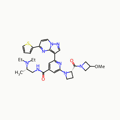 CCN(CC)[C@@H](C)CNC(=O)c1cc(-c2cnn3ccc(-c4cccs4)nc23)nc(N2CC[C@H]2C(=O)N2CC(OC)C2)c1